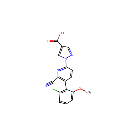 COc1cccc(F)c1-c1ccc(-n2cc(C(=O)O)cn2)nc1C#N